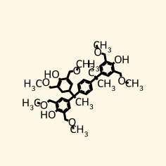 COCC1=CC(C(C)(c2ccc(C(C)(C)c3cc(COC)c(O)c(COC)c3)cc2)c2cc(COC)c(O)c(COC)c2)CC(COC)=C1O